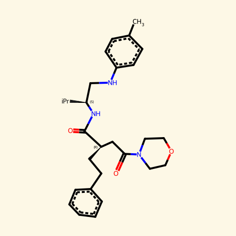 Cc1ccc(NC[C@@H](NC(=O)[C@H](CCc2ccccc2)CC(=O)N2CCOCC2)C(C)C)cc1